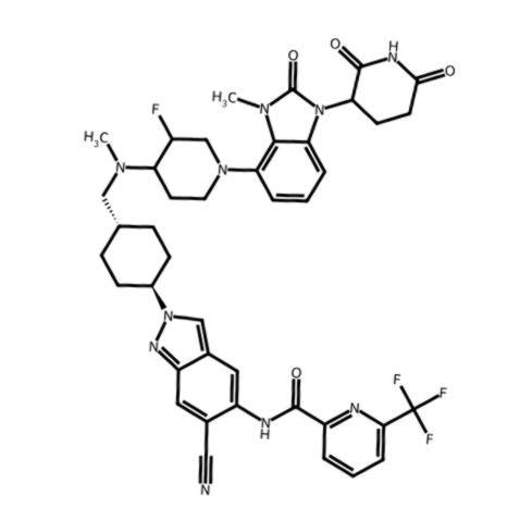 CN(C[C@H]1CC[C@H](n2cc3cc(NC(=O)c4cccc(C(F)(F)F)n4)c(C#N)cc3n2)CC1)C1CCN(c2cccc3c2n(C)c(=O)n3C2CCC(=O)NC2=O)CC1F